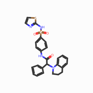 O=C(Nc1ccc(S(=O)(=O)Nc2nccs2)cc1)C(c1ccccc1)N1CCCc2ccccc21